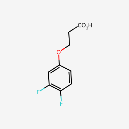 O=C(O)CCOc1ccc(F)c(F)c1